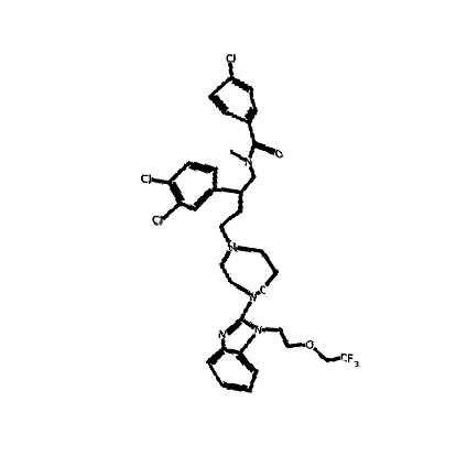 CN(CC(CCN1CCCN(c2nc3ccccc3n2CCOCC(F)(F)F)CC1)c1ccc(Cl)c(Cl)c1)C(=O)c1ccc(Cl)cc1